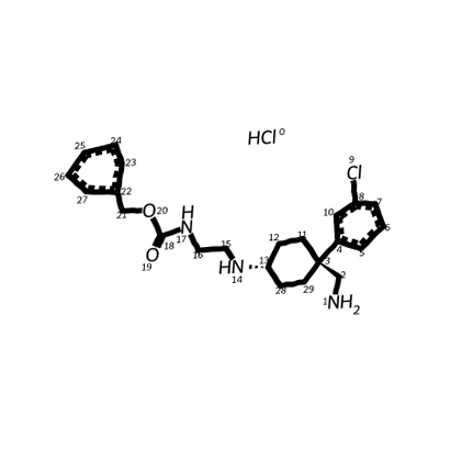 Cl.NC[C@]1(c2cccc(Cl)c2)CC[C@@H](NCCNC(=O)OCc2ccccc2)CC1